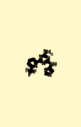 Nc1nc(Nc2cncs2)nc(-c2cccc(C(F)(F)F)n2)n1